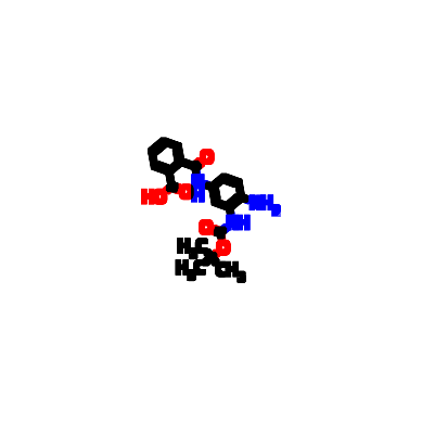 CC(C)(C)OC(=O)Nc1cc(NC(=O)c2ccccc2C(=O)O)ccc1N